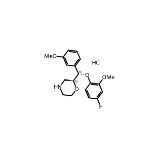 COc1cccc([C@H](Oc2ccc(F)cc2OC)[C@@H]2CNCCO2)c1.Cl